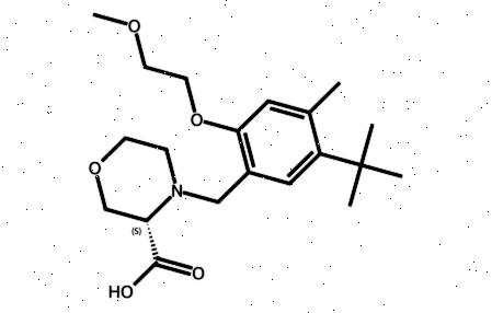 COCCOc1cc(C)c(C(C)(C)C)cc1CN1CCOC[C@H]1C(=O)O